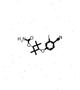 CC1(C)[C@H](OC(N)=O)C(C)(C)[C@H]1Oc1ccc(C#N)c(I)c1